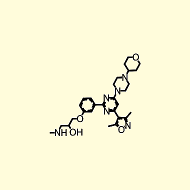 CNCC(O)COc1cccc(-c2nc(-c3c(C)noc3C)cc(N3CCN(C4CCOCC4)CC3)n2)c1